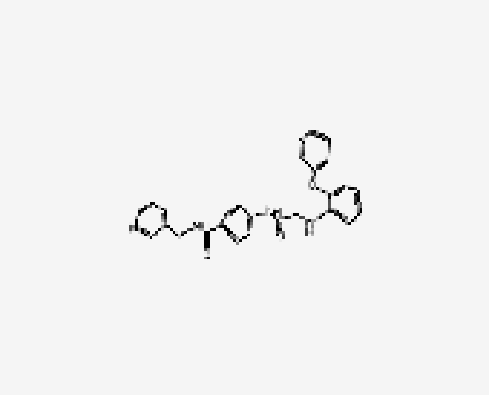 O=C(CNc1ccccc1Oc1ccccc1)Nc1ccc(C(=O)NCc2cccnc2)cc1